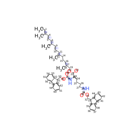 C/C=C(C)/C=C/C=C(C)/C=C/C=C(\C)CC/C=C(\C)COC(=O)[C@@H](CCCCNC(=O)OCC1c2ccccc2-c2ccccc21)NC(=O)OCC1c2ccccc2-c2ccccc21